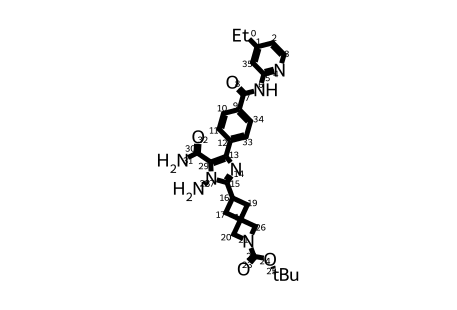 CCc1ccnc(NC(=O)c2ccc(-c3nc(C4CC5(C4)CN(C(=O)OC(C)(C)C)C5)n(N)c3C(N)=O)cc2)c1